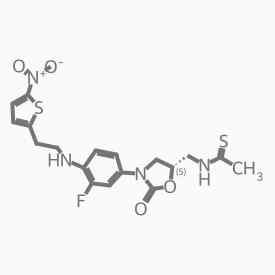 CC(=S)NC[C@H]1CN(c2ccc(NCCc3ccc([N+](=O)[O-])s3)c(F)c2)C(=O)O1